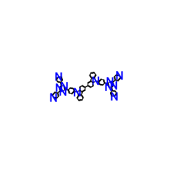 c1ccc2c(c1)c1cc(-c3ccc4c(c3)c3ccccc3n4-c3ccc(-c4nc(-c5ccncc5)nc(-c5ccncc5)n4)cc3)ccc1n2-c1ccc(-c2nc(-c3ccncc3)nc(-c3ccncc3)n2)cc1